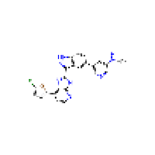 CC(C)Nc1cncc(-c2ccc3[nH]nc(-c4nc5c(-c6ccc(F)s6)ccnc5[nH]4)c3c2)c1